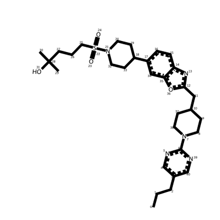 CCCc1cnc(N2CCC(Cc3nc4ccc(C5CCN(S(=O)(=O)CCCC(C)(C)O)CC5)cc4o3)CC2)nc1